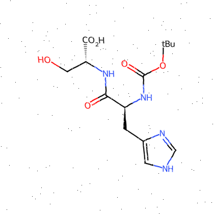 CC(C)(C)OC(=O)N[C@@H](Cc1c[nH]cn1)C(=O)N[C@H](CO)C(=O)O